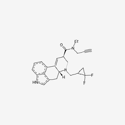 C#CCN(CC)C(=O)[C@@H]1C=C2c3cccc4[nH]cc(c34)C[C@H]2N(CC2CC2(F)F)C1